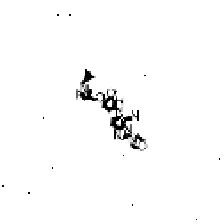 COc1cc(Nc2ccc3ncc(N4CCOCC4)nc3c2C#N)ccc1OCc1cnn(CC2CC2)c1